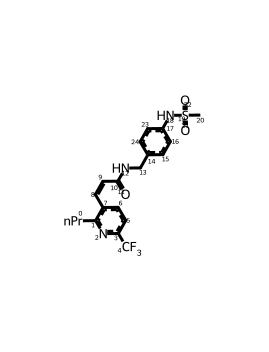 CCCc1nc(C(F)(F)F)ccc1/C=C\C(=O)NCc1ccc(NS(C)(=O)=O)cc1